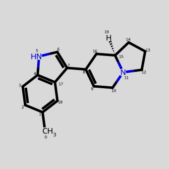 Cc1ccc2[nH]cc(C3=CCN4CCC[C@@H]4C3)c2c1